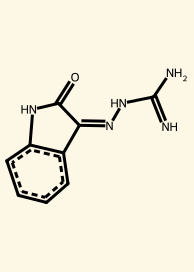 N=C(N)NN=C1C(=O)Nc2ccccc21